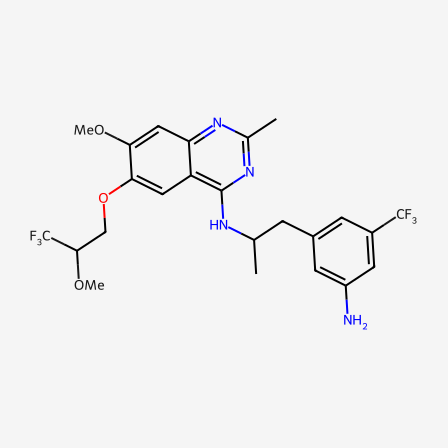 COc1cc2nc(C)nc(NC(C)Cc3cc(N)cc(C(F)(F)F)c3)c2cc1OCC(OC)C(F)(F)F